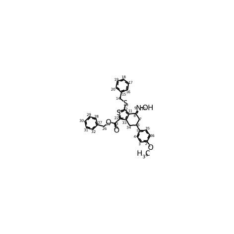 COc1ccc(C2C/C(=N\O)c3c(SCc4ccccc4)sc(C(=O)OCc4ccccc4)c3C2)cc1